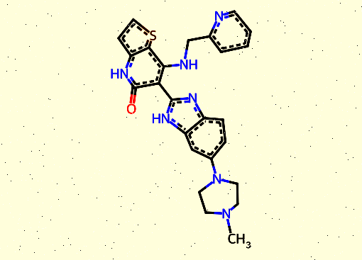 CN1CCN(c2ccc3nc(-c4c(NCc5ccccn5)c5sccc5[nH]c4=O)[nH]c3c2)CC1